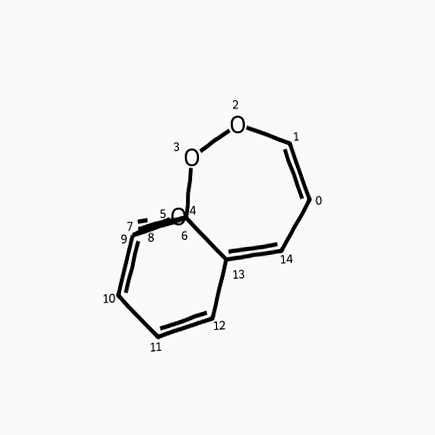 C1=COOC23COC=CC2=CC=CC3=C1